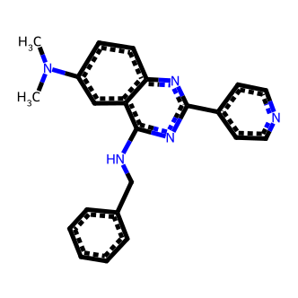 CN(C)c1ccc2nc(-c3ccncc3)nc(NCc3ccccc3)c2c1